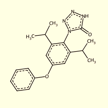 CC(C)c1cc(Oc2ccccc2)cc(C(C)C)c1-n1nn[nH]c1=O